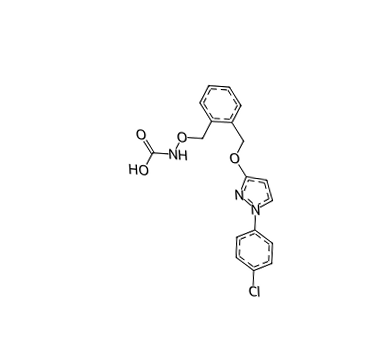 O=C(O)NOCc1ccccc1COc1ccn(-c2ccc(Cl)cc2)n1